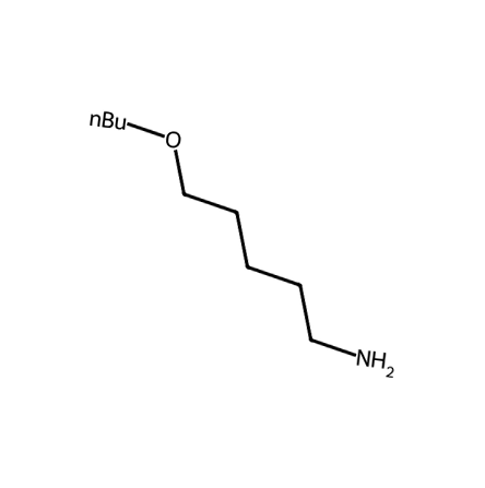 CCCCOCCCCCN